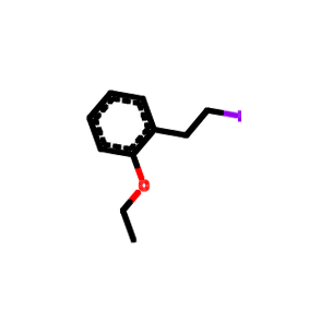 CCOc1ccccc1CCI